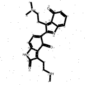 CNCCC1=C2C(=O)C(C3=NC4=CC=CC(=O)C4=C3CCN(C)C)=CC=C2NC1=O